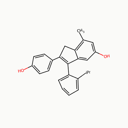 Cc1cc(O)cc2c1CC(c1ccc(O)cc1)=C2c1ccccc1C(C)C